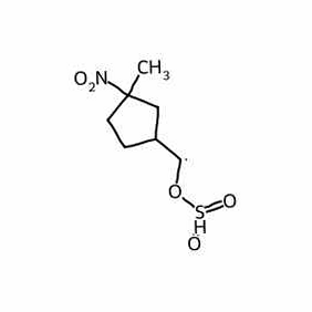 CC1([N+](=O)[O-])CCC([CH]O[SH](=O)=O)C1